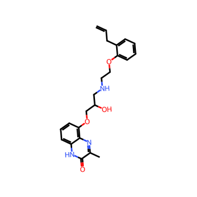 C=CCc1ccccc1OCCNCC(O)COc1cccc2[nH]c(=O)c(C)nc12